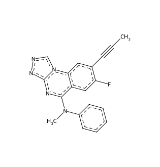 CC#Cc1cc2c(cc1F)c(N(C)c1ccccc1)nc1nncn12